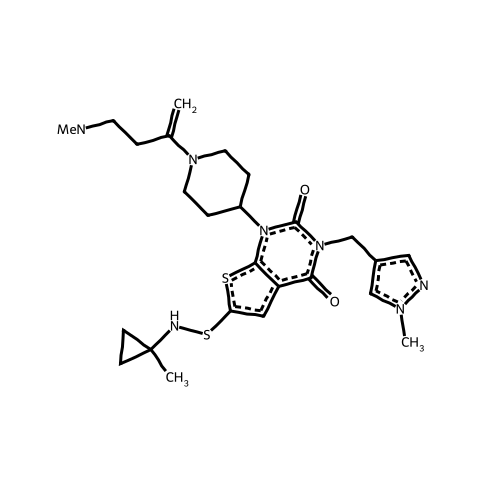 C=C(CCNC)N1CCC(n2c(=O)n(Cc3cnn(C)c3)c(=O)c3cc(SNC4(C)CC4)sc32)CC1